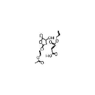 C=CCOC(=O)C=CC(=O)O.C=COC(C)=O.O=C1CC(O)C(=O)O1